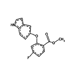 COC(=O)c1ccc(F)cc1Oc1ccc2[nH]ccc2c1